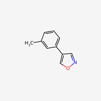 [CH2]c1cccc(-c2cnoc2)c1